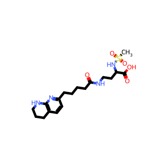 CS(=O)(=O)NC(CCNC(=O)CCCCc1ccc2c(n1)NCCC2)C(=O)O